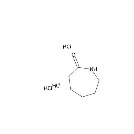 Cl.Cl.Cl.O=C1CCCCCN1